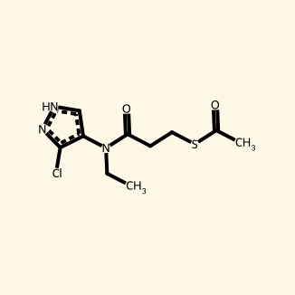 CCN(C(=O)CCSC(C)=O)c1c[nH]nc1Cl